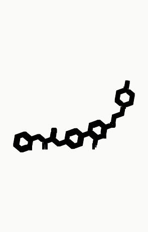 CN1CCN(CCOc2ccc(-c3ccc(CC(=O)NCc4ccccn4)cc3)c(F)n2)CC1